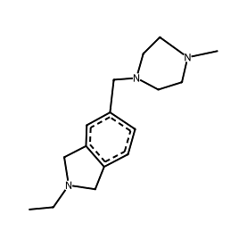 CCN1Cc2ccc(CN3CCN(C)CC3)cc2C1